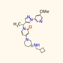 COc1cncc(-n2cc(C(C)n3ccc(N4CCC[C@@H](NCC5CCC5)C4)cc3=O)cn2)c1